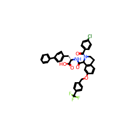 O=C(N[C@@H](Cc1ccc(-c2ccccc2)cc1)C(=O)O)C1c2cc(OCc3ccc(C(F)(F)F)cc3)ccc2CCN1C(=O)c1ccc(Cl)cc1